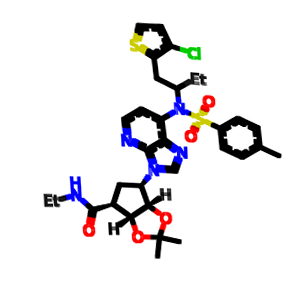 CCNC(=O)[C@H]1C[C@@H](n2cnc3c(N(C(CC)Cc4sccc4Cl)S(=O)(=O)c4ccc(C)cc4)ccnc32)[C@@H]2OC(C)(C)O[C@@H]21